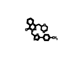 Cc1ccc(-c2csc(Cn3nc(CC4CN=CCO4)c4ccccc4c3=O)n2)cc1